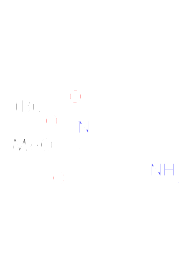 COC(=O)C1CC(CCN)CN1C(=O)OC(C)(C)C